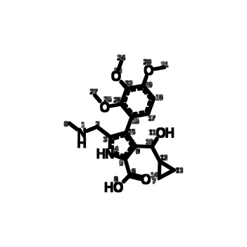 CNCc1[nH]c(C(=O)O)c(C(O)C2CC2)c1-c1ccc(OC)c(OC)c1OC